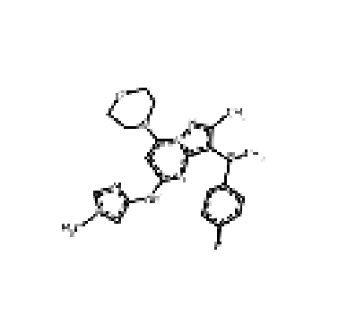 Cc1nn2c(N3CCOCC3)cc(Nc3cn(C)cn3)nc2c1[C@@H](C)c1ccc(F)cc1